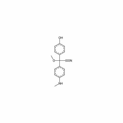 CNc1ccc(C(C#N)(OC)c2ccc(O)cc2)cc1